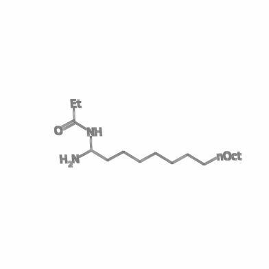 CCCCCCCCCCCCCCCC(N)NC(=O)CC